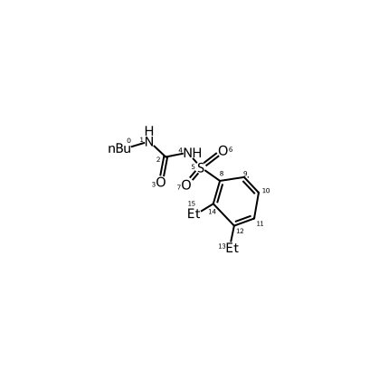 CCCCNC(=O)NS(=O)(=O)c1[c]ccc(CC)c1CC